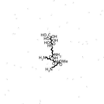 COC(=O)C(CCCCN)NC(=O)[C@H](CCCCN)NC(=O)[C@H](N)CCCCNC(=O)[C@H](O)[C@@H](O)[C@@H](O)[C@H](O)C(=O)O